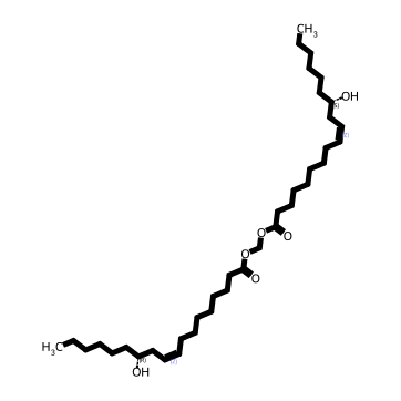 CCCCCC[C@H](O)C/C=C\CCCCCCCC(=O)OCOC(=O)CCCCCCC/C=C\C[C@H](O)CCCCCC